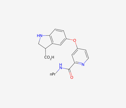 CCCNC(=O)c1cc(Oc2ccc3c(c2)C(C(=O)O)CN3)ccn1